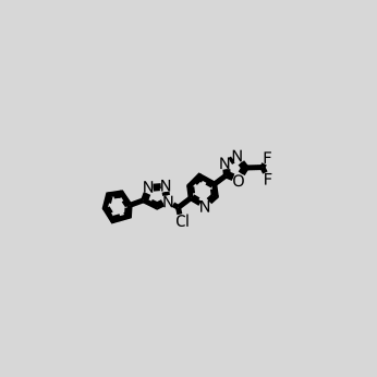 FC(F)c1nnc(-c2ccc(C(Cl)n3cc(-c4ccccc4)nn3)nc2)o1